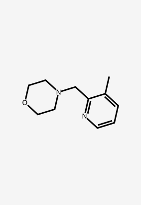 Cc1cccnc1CN1CCOCC1